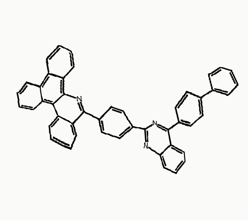 c1ccc(-c2ccc(-c3nc(-c4ccc(-c5nc6c7ccccc7c7ccccc7c6c6ccccc56)cc4)nc4ccccc34)cc2)cc1